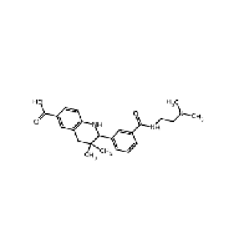 CN(C)CCNC(=O)c1cccc(C2Nc3ccc(C(=O)O)cc3CC2(C)C)c1